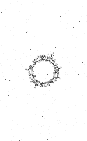 C/C=C/C[C@@H](C)[C@@H](O)[C@H]1C(=O)N[C@@H](CC)C(=O)N(C)CC(=O)N(C)[C@@H](CC(C)C)C(=O)N[C@@H](C(C)C)C(=O)N(C)[C@@H](CC(C)C)C(=O)N[C@@H](C)C(=O)N[C@H](C)C(=O)N(C)[C@@H](CC(C)C)C(=O)N(C)C(CC(C)C)C(=O)N(C)[C@@H](C(C)C)C(=O)N1C